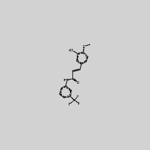 COc1ccc(C=CC(=O)Nc2cccc(C(F)(F)F)c2)cc1O